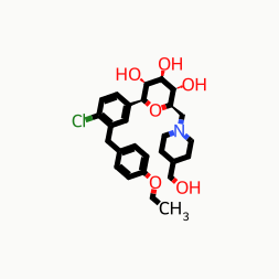 CCOc1ccc(Cc2cc([C@@H]3O[C@H](CN4CCC(CO)CC4)[C@@H](O)[C@H](O)[C@H]3O)ccc2Cl)cc1